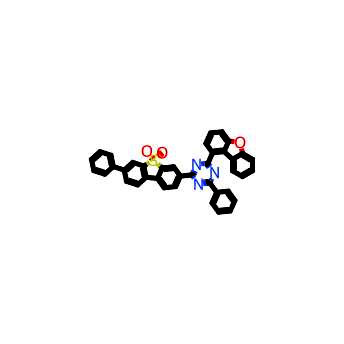 O=S1(=O)c2cc(-c3ccccc3)ccc2-c2ccc(-c3nc(-c4ccccc4)nc(-c4cccc5oc6ccccc6c45)n3)cc21